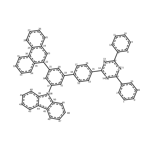 c1ccc(-c2nc(-c3ccccc3)nc(-c3ccc(-c4cc(-c5cc6ccccc6c6ccccc56)cc(-n5c6ccccc6c6ccccc65)c4)cc3)n2)cc1